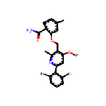 CCc1cccc(CC)c1-c1cc(OC(C)C)c(COc2cc(C)ccc2C(N)=O)c(C)n1